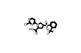 O=C(O)C1CC(S(=O)(=O)c2ccccc2C(F)(F)F)CN1c1ccnc(Cl)n1